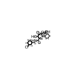 Cn1c(N2CCCCS2(O)O)nc(C(=O)NCc2cccc(Cl)c2)c(O)c1=O